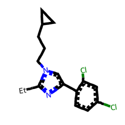 CCc1nc(-c2ccc(Cl)cc2Cl)cn1CCCC1CC1